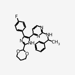 CC(Nc1nccc(-c2[nH]c(C3OCCCO3)nc2-c2ccc(F)cc2)n1)c1ccccc1